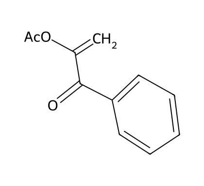 C=C(OC(C)=O)C(=O)c1ccccc1